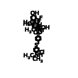 CC(C)Nc1ccc(SCc2ccc([C@H]3O[C@@H]4C[C@H]5[C@@H]6C[C@H](F)C7=CC(O)C=C[C@]7(C)[C@@]6(F)[C@@H](O)C[C@]5(C)[C@]4(C(=O)CO)O3)cc2)cc1Cl